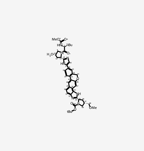 CC[C@H](C)[C@H](NC(=O)OC)C(=O)N1C[C@@H](C)C[C@H]1c1ncc(-c2ccc3c(c2)COc2cc4c(ccc5nc([C@@H]6C[C@H](COC)CN6C(=O)OC(C)(C)C)[nH]c54)cc2-3)[nH]1